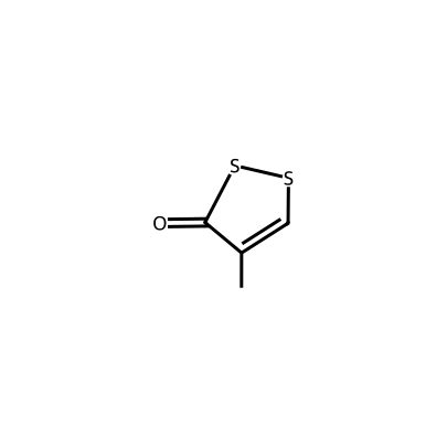 Cc1cssc1=O